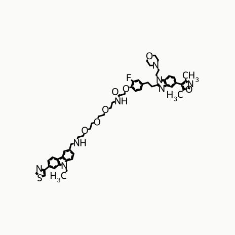 CCn1c2ccc(CNCCOCCOCCOCCNC(=O)COc3ccc(CCc4nc5cc(-c6c(C)noc6C)ccc5n4CCN4CCOCC4)cc3F)cc2c2ccc(-c3cscn3)cc21